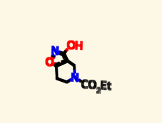 CCOC(=O)N1CCc2onc(O)c2C1